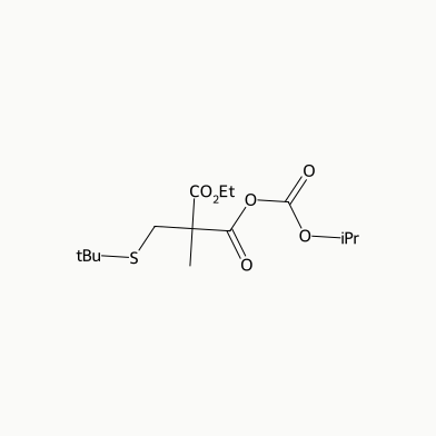 CCOC(=O)C(C)(CSC(C)(C)C)C(=O)OC(=O)OC(C)C